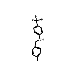 Cc1ccc(CNc2ccc(C(F)(F)F)cc2)cc1